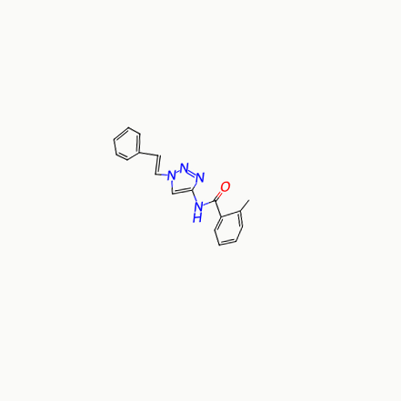 Cc1ccccc1C(=O)Nc1cn(C=Cc2ccccc2)nn1